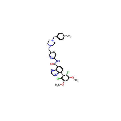 COc1cc(OC)c(Cl)c(-c2ccc(C(=O)Nc3ccc(CN4CCN(Cc5ccc(C)cc5)CC4)cn3)c3nccnc23)c1Cl